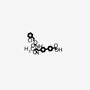 Cc1onc(-c2ccc(-c3ccc(C(=O)O)cc3)cc2)c1NC(=O)OCCc1ccccc1Cl